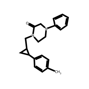 Cc1ccc(C2CC2CN2CCN(c3ccccc3)CC2=O)cc1